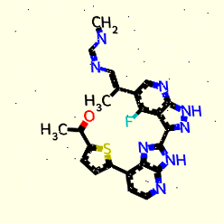 C=N/C=N\C=C(/C)c1cnc2[nH]nc(-c3nc4c(-c5ccc(C(C)=O)s5)ccnc4[nH]3)c2c1F